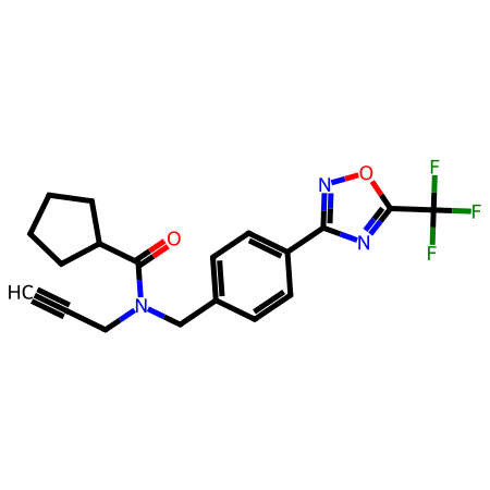 C#CCN(Cc1ccc(-c2noc(C(F)(F)F)n2)cc1)C(=O)C1CCCC1